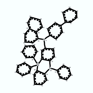 c1ccc(-c2ccc(N(c3ccc4c(c3)[Si](c3ccccc3)(c3ccccc3)c3ccccc3N4c3ccccc3)c3cccc4ccccc34)cc2)cc1